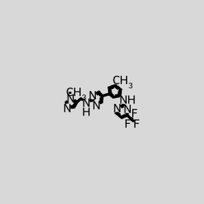 Cc1cc(Nc2nccc(C(F)(F)F)n2)cc(-c2cnc(NCc3cncn3C)nc2)c1